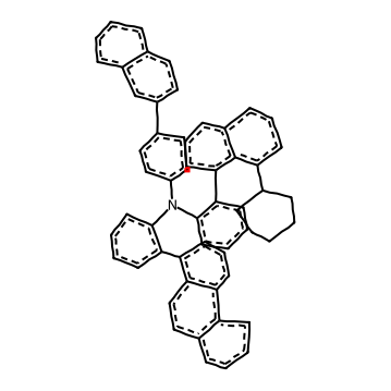 c1ccc(N(c2ccc(-c3ccc4ccccc4c3)cc2)c2ccccc2-c2cccc3cccc(C4CCCCC4)c23)c(-c2cccc3c2ccc2ccccc23)c1